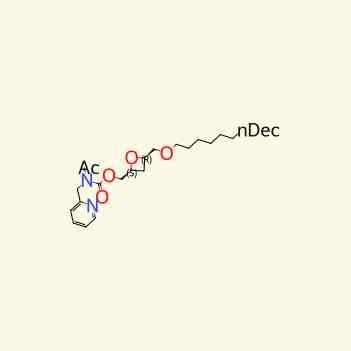 CCCCCCCCCCCCCCCCOC[C@H]1C[C@@H](COC(=O)N(Cc2ccccn2)C(C)=O)O1